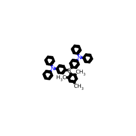 Cc1cc(C)c(B(c2ccc(N(c3ccccc3)c3ccccc3)cc2)c2ccc(N(c3ccccc3)c3ccccc3)cc2)c(C)c1